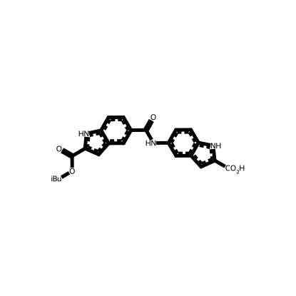 CCC(C)OC(=O)c1cc2cc(C(=O)Nc3ccc4[nH]c(C(=O)O)cc4c3)ccc2[nH]1